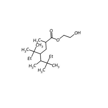 CCC(C)(C)C(C)C(CC(C)C(=O)OCCO)C(C)(C)CC